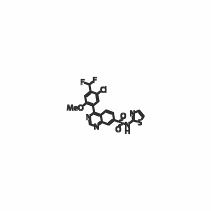 COc1cc(C(F)F)c(Cl)cc1-c1ncnc2cc(S(=O)(=O)Nc3nccs3)ccc12